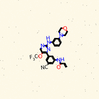 C=CC(=O)Nc1cc(C#N)cc(-c2nc(Nc3cccc(N4CCOCC4)c3)ncc2OC(F)(F)F)c1